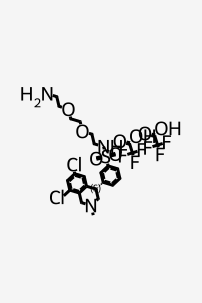 CN1Cc2c(Cl)cc(Cl)cc2[C@H](c2cccc(S(=O)(=O)NCCOCCOCCN)c2)C1.O=C(O)C(F)(F)F.O=C(O)C(F)(F)F